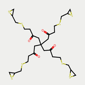 O=C(CCSCC1CS1)CC(CC(=O)CCSCC1CS1)(CC(=O)CCSCC1CS1)CC(=O)CCSCC1CS1